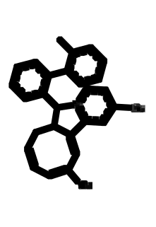 Cc1ccccc1-c1ccccc1C1C2C\C=C/C=C(C(C)(C)C)\C=C/2c2cc(C(C)(C)C)cc[n+]21